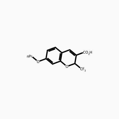 CCCOc1ccc2c(c1)OC(C(F)(F)F)C(C(=O)O)=C2